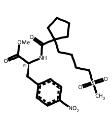 COC(=O)[C@H](Cc1ccc([N+](=O)[O-])cc1)NC(=O)C1(CCCCS(C)(=O)=O)CCCC1